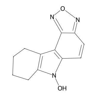 On1c2c(c3c4nonc4ccc31)CCCC2